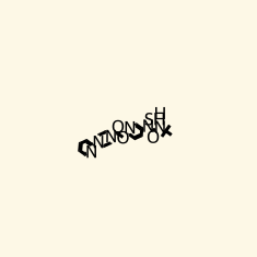 CC(C)(C)NC(=O)N(S)c1ccc(OC(=O)N2CCN(c3ccccn3)CC2)nc1